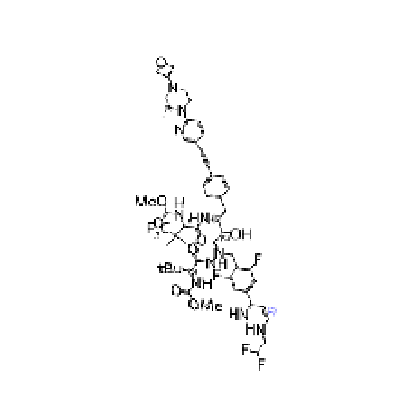 COC(=O)NC(C(=O)N[C@@H](Cc1ccc(C#Cc2ccc(N3CCN(C4COC4)C[C@H]3C)nc2)cc1)[C@@H](O)CN(Cc1c(F)cc(C(=N)/C=C\NCC(F)F)cc1F)NC(=O)[C@@H](NC(=O)OC)C(C)(C)C)C(C)(C)C(F)(F)F